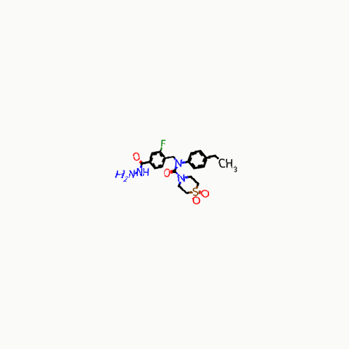 CCc1ccc(N(Cc2ccc(C(=O)NN)cc2F)C(=O)N2CCS(=O)(=O)CC2)cc1